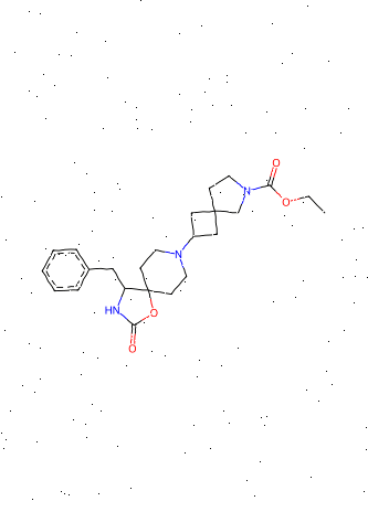 CCOC(=O)N1CCC2(CC(N3CCC4(CC3)OC(=O)NC4Cc3ccccc3)C2)C1